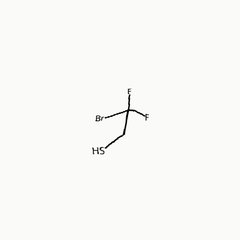 FC(F)(Br)CS